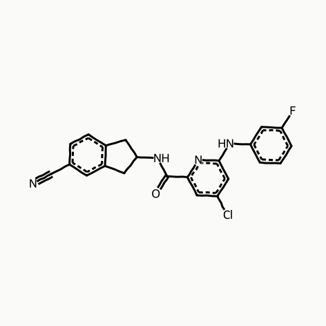 N#Cc1ccc2c(c1)CC(NC(=O)c1cc(Cl)cc(Nc3cccc(F)c3)n1)C2